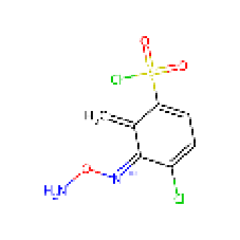 C=C1C(S(=O)(=O)Cl)=CC=C(Cl)/C1=N/ON